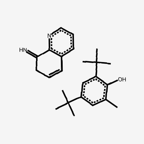 Cc1cc(C(C)(C)C)cc(C(C)(C)C)c1O.N=C1CC=Cc2cccnc21